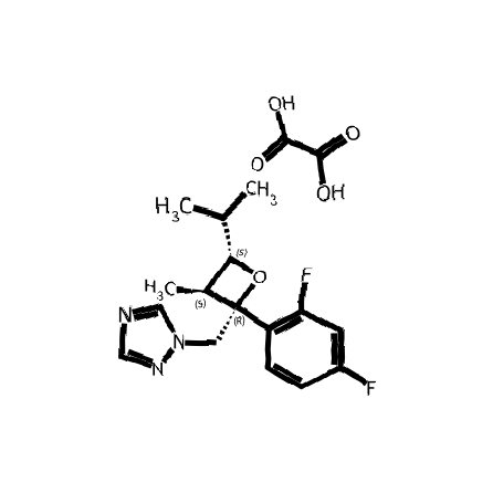 CC(C)[C@@H]1O[C@@](Cn2cncn2)(c2ccc(F)cc2F)[C@H]1C.O=C(O)C(=O)O